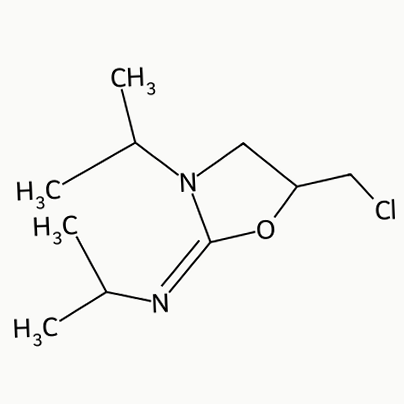 CC(C)/N=C1/OC(CCl)CN1C(C)C